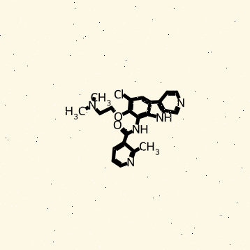 Cc1ncccc1C(=O)Nc1c(OCCN(C)C)c(Cl)cc2c1[nH]c1cnccc12